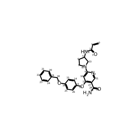 C=CC(=O)NC1CCN(c2cc(Oc3ccc(OCc4ccccc4)cc3)c(C(N)=O)cn2)C1